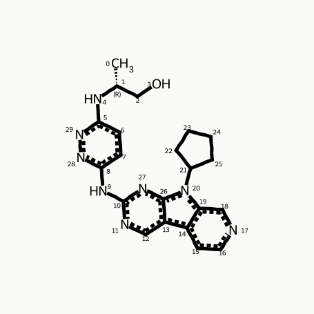 C[C@H](CO)Nc1ccc(Nc2ncc3c4ccncc4n(C4CCCC4)c3n2)nn1